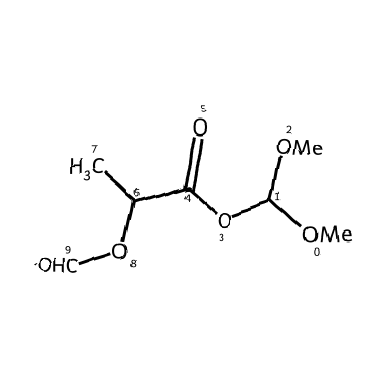 COC(OC)OC(=O)C(C)O[C]=O